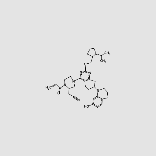 C=CC(=O)N1CCN(c2nc(OCC3CCCN3C(C)C)nc3c2CCC(N2CCCc4ccc(O)cc42)C3)CC1CC#N